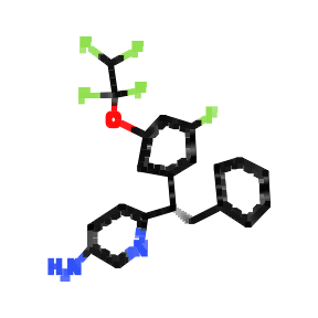 Nc1ccc([C@@H](Cc2ccccc2)c2cc(F)cc(OC(F)(F)C(F)F)c2)nc1